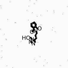 O=C1c2ccccc2C(=O)N1CCCc1cnnn1CO